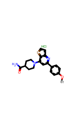 CCOc1ccc(-c2cc(N3CCC(C(N)=O)CC3)c3sccc3n2)cc1.Cl